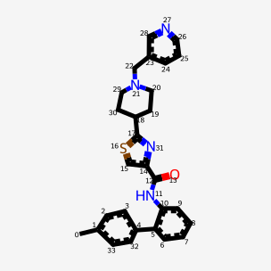 Cc1ccc(-c2ccccc2NC(=O)c2csc(C3CCN(Cc4cccnc4)CC3)n2)cc1